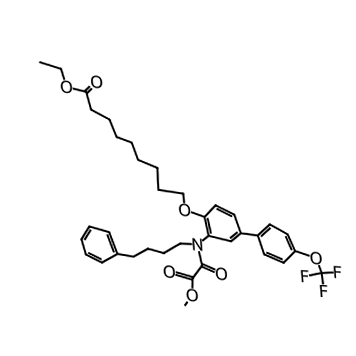 CCOC(=O)CCCCCCCCOc1ccc(-c2ccc(OC(F)(F)F)cc2)cc1N(CCCCc1ccccc1)C(=O)C(=O)OC